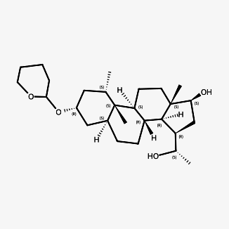 C[C@H](O)[C@@H]1C[C@H](O)[C@@]2(C)CC[C@H]3[C@@H](CC[C@H]4C[C@H](OC5CCCCO5)C[C@H](C)[C@@]43C)[C@H]12